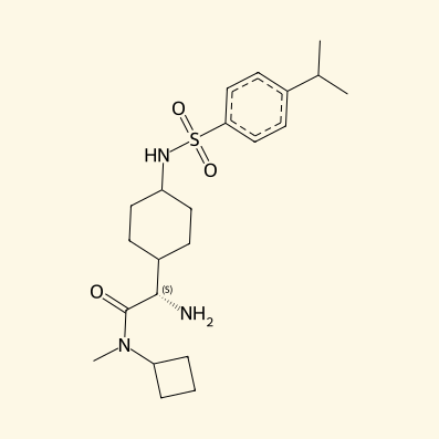 CC(C)c1ccc(S(=O)(=O)NC2CCC([C@H](N)C(=O)N(C)C3CCC3)CC2)cc1